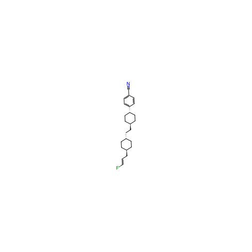 N#Cc1ccc([C@H]2CC[C@H](CC[C@H]3CC[C@H](C/C=C/F)CC3)CC2)cc1